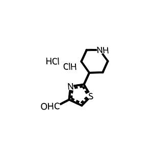 Cl.Cl.O=Cc1csc(C2CCNCC2)n1